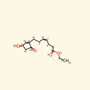 CCOC(=O)CC/C=C\CCC1=C[C@H](O)CC1=O